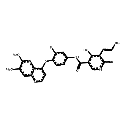 COc1cc2nccc(Oc3ccc(NC(=O)c4cnc(C)c(/C=C/C(C)(C)C)c4O)cc3F)c2nc1OC